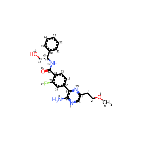 COCCc1cnc(N)c(-c2ccc(C(=O)N[C@H](CO)c3ccccc3)c(F)c2)n1